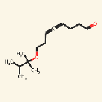 CC(C)C(C)(C)OCCC=C=CCCC=O